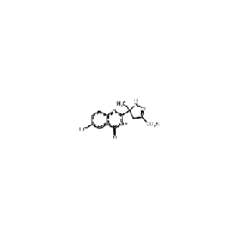 CCOC(=O)C1=NNC(C)(c2nc3ccc(C)cc3c(=O)[nH]2)C1